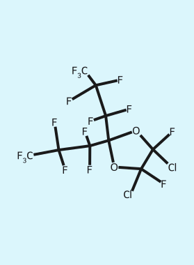 FC(F)(F)C(F)(F)C(F)(F)C1(C(F)(F)C(F)(F)C(F)(F)F)OC(F)(Cl)C(F)(Cl)O1